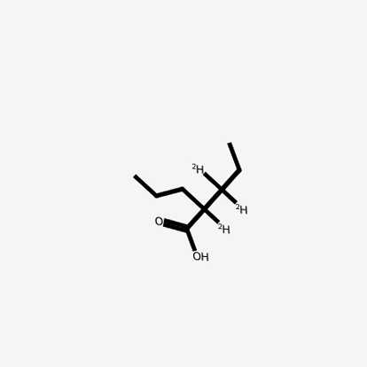 [2H]C([2H])(CC)C([2H])(CCC)C(=O)O